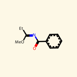 CCC(=NC(=O)c1ccccc1)OC